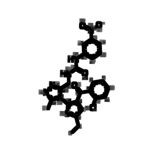 CCc1cc(C(=O)c2ccccc2Cl)c(-n2c(C)nnc2CNC(=O)Nc2cccc([N+](=O)[O-])c2)s1